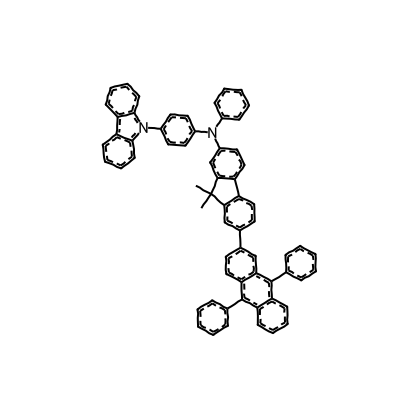 CC1(C)c2cc(-c3ccc4c(-c5ccccc5)c5ccccc5c(-c5ccccc5)c4c3)ccc2-c2ccc(N(c3ccccc3)c3ccc(-n4c5ccccc5c5ccccc54)cc3)cc21